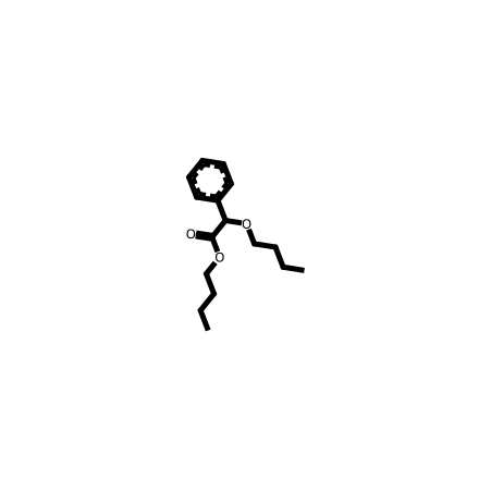 CCCCOC(=O)C(OCCCC)c1ccccc1